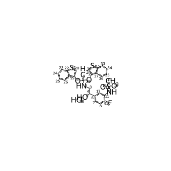 CC(NCC(O)c1ccc(F)c(NS(C)(=O)=O)c1)(Oc1csc2ccccc12)Oc1csc2ccccc12.Cl